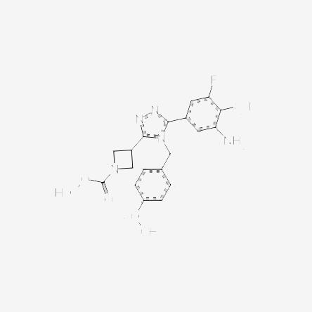 COC(=O)N1CC(c2nnc(-c3cc(N)c(C)c(F)c3)n2Cc2ccc(OC)cc2)C1